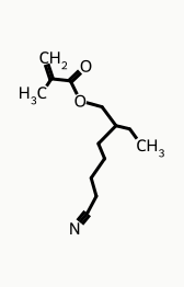 C=C(C)C(=O)OCC(CC)CCCCC#N